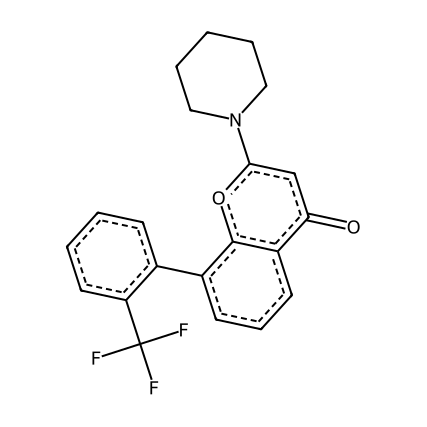 O=c1cc(N2CCCCC2)oc2c(-c3ccccc3C(F)(F)F)cccc12